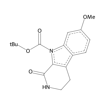 COc1ccc2c3c(n(C(=O)OC(C)(C)C)c2c1)C(=O)NCC3